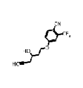 C#CCC(O)CCOc1ccc(C#N)c(C(F)(F)F)c1